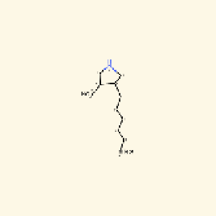 CCCCCCCCCCCCC1CNCC1C(=O)O